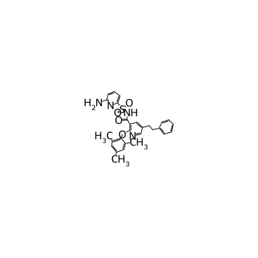 Cc1cc(C)c(Oc2ncc(CCc3ccccc3)cc2C(=O)NS(=O)(=O)c2cccc(N)n2)c(C)c1